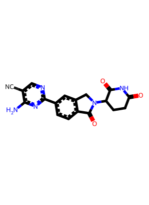 N#Cc1cnc(-c2ccc3c(c2)CN(C2CCC(=O)NC2=O)C3=O)nc1N